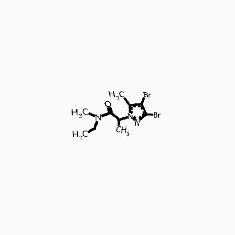 CCN(C)C(=O)C(C)n1nc(Br)c(Br)c1C